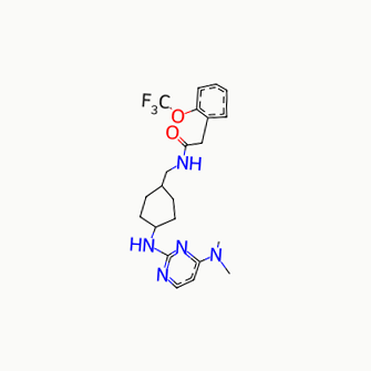 CN(C)c1ccnc(NC2CCC(CNC(=O)Cc3ccccc3OC(F)(F)F)CC2)n1